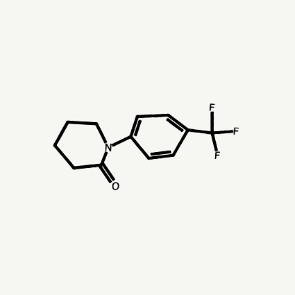 O=C1CCCCN1c1ccc(C(F)(F)F)cc1